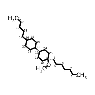 CCCCCCC[C@]1(OC)CC[C@@H](C2CCC(CCCCC)CC2)CC1